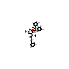 CC(C)(C)[Si](O[C@H]1CNC[C@H](NC(=O)OCc2ccccc2)C1)(c1ccccc1)c1ccccc1